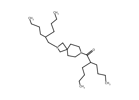 CCCCC(CCCC)CN1CC2(CCN(C(=O)C(CCCC)CCCC)CC2)C1